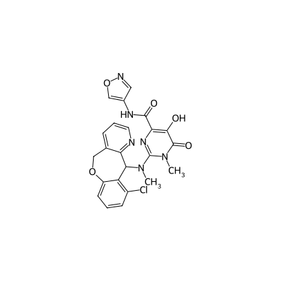 CN(c1nc(C(=O)Nc2cnoc2)c(O)c(=O)n1C)C1c2ncccc2COc2cccc(Cl)c21